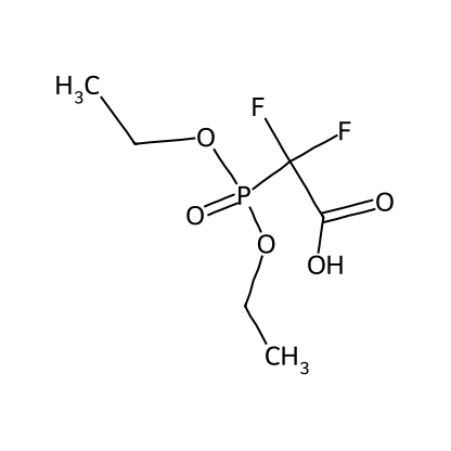 CCOP(=O)(OCC)C(F)(F)C(=O)O